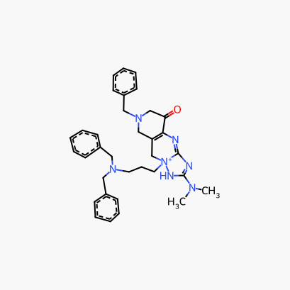 CN(C)C1=NC2=NC3=C(CN(Cc4ccccc4)CC3=O)C[N+]2(CCCN(Cc2ccccc2)Cc2ccccc2)N1